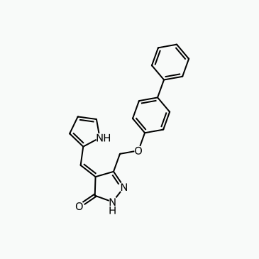 O=C1NN=C(COc2ccc(-c3ccccc3)cc2)/C1=C\c1ccc[nH]1